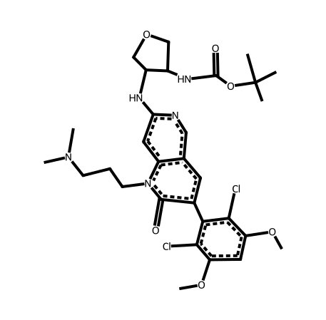 COc1cc(OC)c(Cl)c(-c2cc3cnc(NC4COCC4NC(=O)OC(C)(C)C)cc3n(CCCN(C)C)c2=O)c1Cl